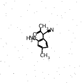 CC(=O)C(C#N)c1ccc(C)cc1C.[Na]